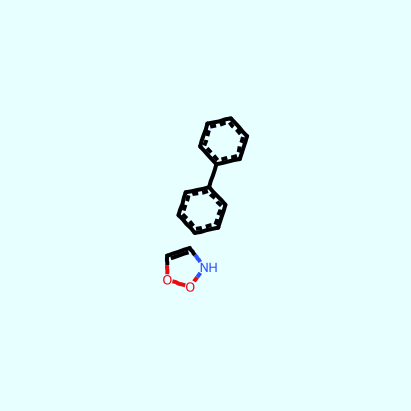 C1=COON1.c1ccc(-c2ccccc2)cc1